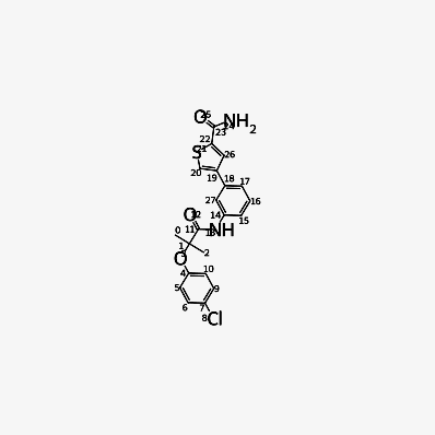 CC(C)(Oc1ccc(Cl)cc1)C(=O)Nc1cccc(-c2csc(C(N)=O)c2)c1